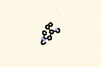 c1ccc(-c2nc3ccccn3c2-c2cccc(-c3cc(-c4ccccn4)cc(-c4cccc5ccccc45)c3)c2)cc1